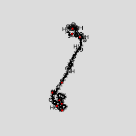 CCS(=S)COC1C[C@H](n2cc(C#CCNC(=O)OCCCCOCSSc3ccc(CC(=O)NCCOCCCOCCCOCCCn4cc(CNC(=O)c5ccc(C(=O)O)c(C6=c7cc8c9c(c7Oc7c6cc6c%10c7CCCN%10CCC6)CCC[N+]=9CCC8)c5)nn4)cc3)c(=O)[nH]c2=O)O[C@@H]1COP(=O)(O)OP(=O)(O)OP(=O)(O)O